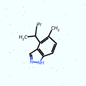 Cc1ccc2[nH]ncc2c1C(C)C(C)C